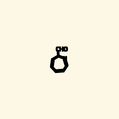 O=CC1C=CC=CC=N1